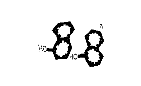 Oc1cccc2ccccc12.Oc1cccc2ccccc12.[Ti]